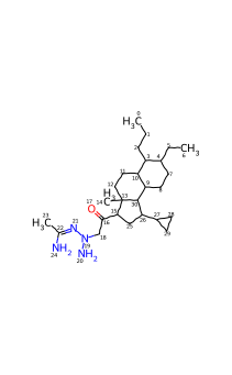 CCCC1C(CC)CCC2C1CCC1(C)C(C(=O)CN(N)/N=C(/C)N)CC(C3CC3)C21